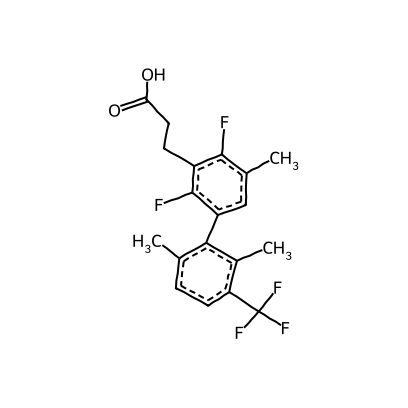 Cc1cc(-c2c(C)ccc(C(F)(F)F)c2C)c(F)c(CCC(=O)O)c1F